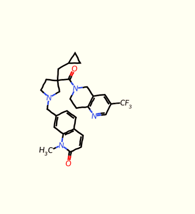 Cn1c(=O)ccc2ccc(CN3CCC(CC4CC4)(C(=O)N4CCc5ncc(C(F)(F)F)cc5C4)C3)cc21